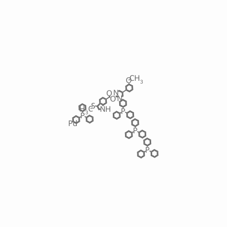 COc1cccc(-c2cnc(OC(=O)c3ccc4c(SC)c[nH]c4c3)nc2)c1.[Pd].c1ccc(P(c2ccccc2)c2ccccc2)cc1.c1ccc(P(c2ccccc2)c2ccccc2)cc1.c1ccc(P(c2ccccc2)c2ccccc2)cc1.c1ccc(P(c2ccccc2)c2ccccc2)cc1